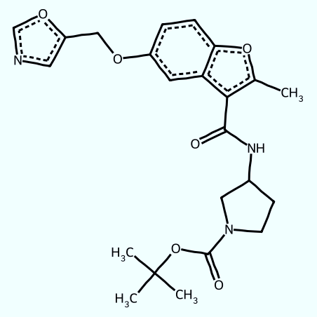 Cc1oc2ccc(OCc3cnco3)cc2c1C(=O)NC1CCN(C(=O)OC(C)(C)C)C1